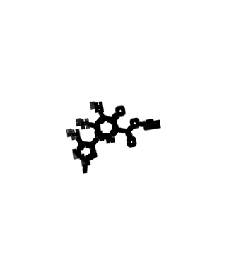 [2H]c1nn(C)cc1-n1nc(C(=O)OC(C)(C)C)c(=O)c([2H])c1[2H]